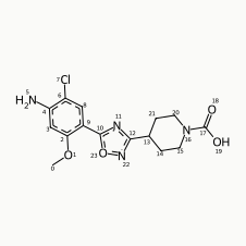 COc1cc(N)c(Cl)cc1-c1nc(C2CCN(C(=O)O)CC2)no1